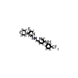 Fc1cnc(/N=N/Cc2ccc(Nc3cccc(C(F)(F)F)c3)cn2)nc1N1CCOCC1